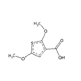 COc1cc(C(=O)O)c(OC)s1